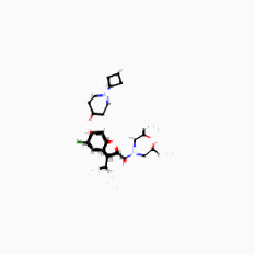 CC1CN(C(=O)c2oc3cc(OC4CCN(C5CCC5)CC4)c(Cl)cc3c2C(C)C)CC(C)O1